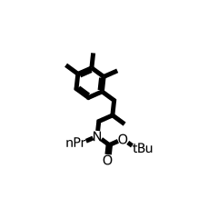 CCCN(CC(C)Cc1ccc(C)c(C)c1C)C(=O)OC(C)(C)C